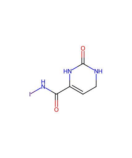 O=C1NCC=C(C(=O)NI)N1